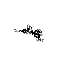 CCN(CC)c1ccc2c(CCCOC(=O)Oc3ccc([N+](=O)[O-])cc3)cc(=O)oc2c1